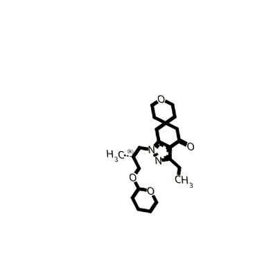 CCc1nn(C[C@@H](C)COC2CCCCO2)c2c1C(=O)CC1(CCOCC1)C2